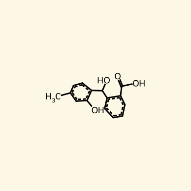 Cc1ccc(C(O)c2ccccc2C(=O)O)c(O)c1